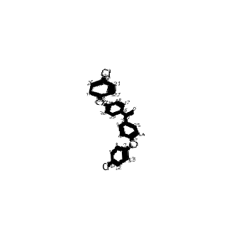 C=C(c1ccc(Oc2ccc(Cl)cc2)cc1)c1ccc(Oc2ccc(Cl)cc2)cc1